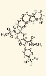 CNC(=O)c1c(-c2ccc(C(F)(F)F)nc2)oc2cc(N(C)S(C)(=O)=O)c(-c3ccc4c(n3)-c3cc5c(F)cccc5n3CO4)cc12